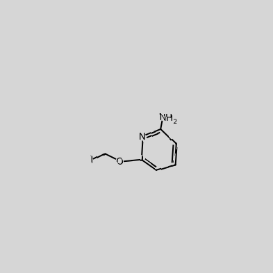 Nc1cccc(OCI)n1